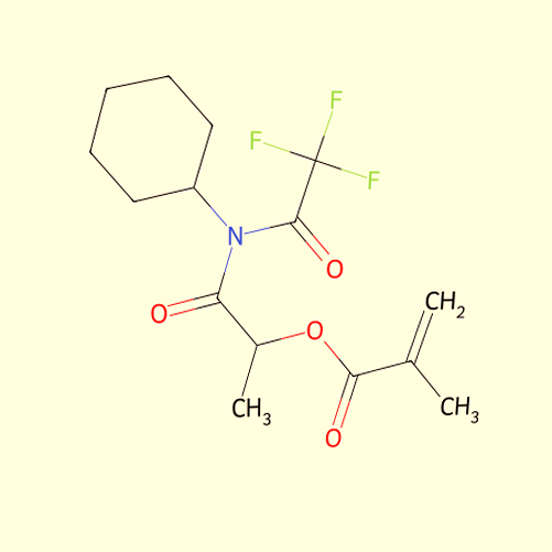 C=C(C)C(=O)OC(C)C(=O)N(C(=O)C(F)(F)F)C1CCCCC1